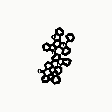 O=C1c2ccccc2C(c2ccccc2)(c2ccccc2)C2=CC(c3cc(-n4c5ccccc5c5c6oc7ccccc7c6c6c(c7ccccc7n6-c6ccccc6)c54)cc4c3oc3ccccc34)=CCC12